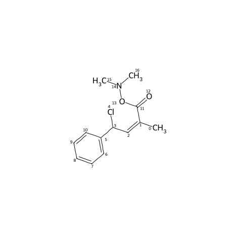 CC(=CC(Cl)c1ccccc1)C(=O)ON(C)C